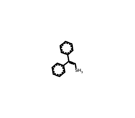 [SiH3]C=C(c1ccccc1)c1ccccc1